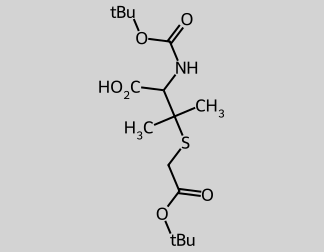 CC(C)(C)OC(=O)CSC(C)(C)C(NC(=O)OC(C)(C)C)C(=O)O